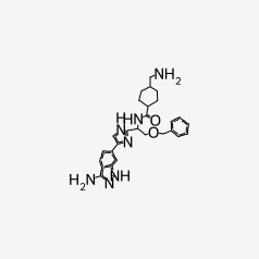 NCC1CCC(C(=O)NC(COCc2ccccc2)c2nc(-c3ccc4c(N)n[nH]c4c3)c[nH]2)CC1